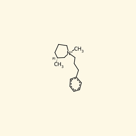 C[C@@H]1CCC[N+](C)(CCCc2ccccc2)C1